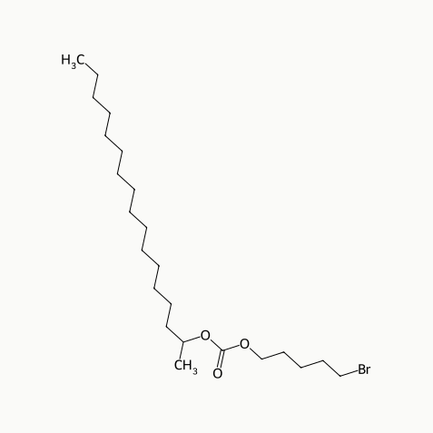 CCCCCCCCCCCCCCCC(C)OC(=O)OCCCCCBr